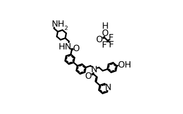 NCC1CCC(CNC(=O)c2cccc(-c3cccc(CN(CCc4ccc(O)cc4)C(=O)C=Cc4cccnc4)c3)c2)CC1.O=C(O)C(F)(F)F